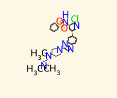 CN(C)CCN(C)C1CCN(c2cnc3ccc(-c4cnc(Cl)c(NS(=O)(=O)c5ccccc5)c4)cc3n2)CC1